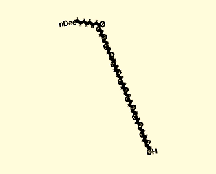 CCCCCCCCCCCCCCCCCC(=O)OCCOCCOCCOCCOCCOCCOCCOCCOCCOCCOCCOCCOCCOCCO